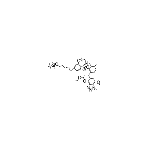 CCOC(=O)CC(c1ccc(C)c(CN2C[C@@H](C)Oc3cc(OCCCCO[Si](C)(C)C(C)(C)C)ccc3S2(=O)=O)c1)c1cc(OC)c2c(c1)nnn2C